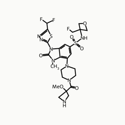 COC1(C(=O)N2CCN(c3cc(S(=O)(=O)NC4(CF)COC4)cc4c3n(C)c(=O)n4-c3nnc(C(F)F)s3)CC2)CNC1